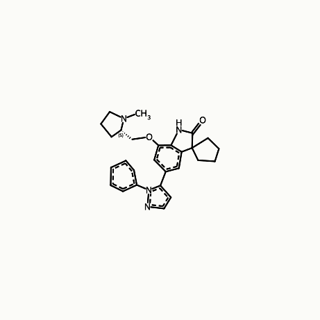 CN1CCC[C@H]1COc1cc(-c2ccnn2-c2ccccc2)cc2c1NC(=O)C21CCCC1